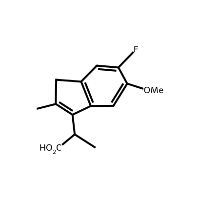 COc1cc2c(cc1F)CC(C)=C2C(C)C(=O)O